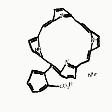 O=C(O)c1ccccc1-c1c2nc(cc3ccc(cc4nc(cc5ccc1[nH]5)C=C4)[nH]3)C=C2.[Mn]